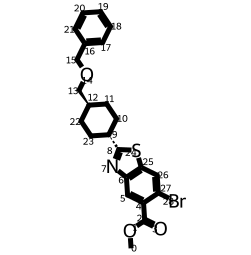 COC(=O)c1cc2nc([C@H]3CC[C@H](COCc4ccccc4)CC3)sc2cc1Br